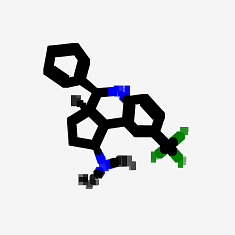 CN(C)[C@H]1CC[C@@H]2C1c1cc(C(F)(F)F)ccc1N[C@@H]2c1ccccc1